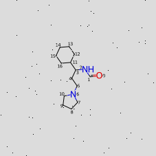 O=CNC(CCN1C[CH]CC1)C1CCCCC1